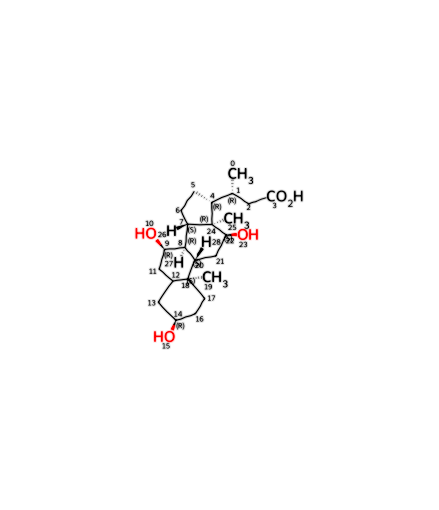 C[C@H](CC(=O)O)[C@H]1CC[C@H]2[C@@H]3[C@H](O)CC4C[C@H](O)CC[C@]4(C)[C@H]3C[C@H](O)[C@]12C